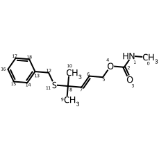 CNC(=O)OCC=CC(C)(C)SCc1ccccc1